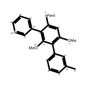 CCCCCc1cc(OC)c(-c2cccc(C)c2)c(OC)c1-c1cccnc1